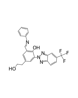 OCCc1cc(C=Nc2ccccc2)c(O)c(-n2nc3ccc(C(F)(F)F)cc3n2)c1